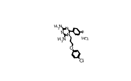 Cl.NC1=NC(c2ccc(F)cc2)N(CCCOc2ccc(Cl)cc2)C(N)=N1